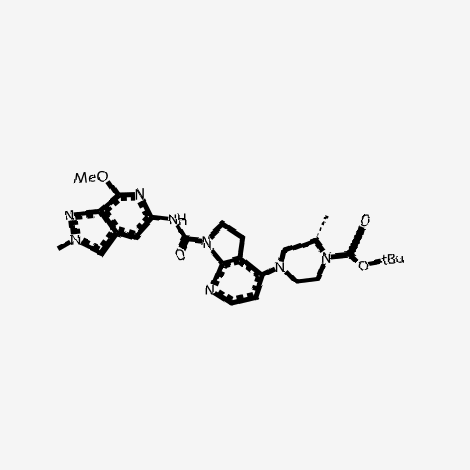 COc1nc(NC(=O)N2CCc3c(N4CCN(C(=O)OC(C)(C)C)[C@@H](C)C4)ccnc32)cc2cn(C)nc12